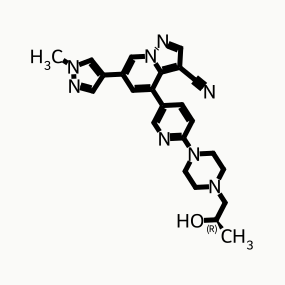 C[C@@H](O)CN1CCN(c2ccc(-c3cc(-c4cnn(C)c4)cn4ncc(C#N)c34)cn2)CC1